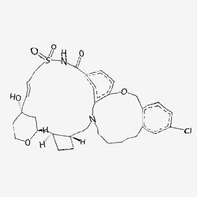 O=C1NS(=O)(=O)C/C=C/[C@]2(O)CCO[C@H](C2)[C@@H]2CC[C@H]2CN2CCCCc3cc(Cl)ccc3COc3ccc1cc32